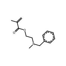 C=C(C)C(=O)OCCN(C)Cc1ccccc1